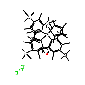 CC1=C(C)[C]([Ti+3])([Si](c2c([Si](C)(C)C)c(C)c([Si](C)(C)C)c(C)c2[Si](C)(C)C)(c2c([Si](C)(C)C)c(C)c([Si](C)(C)C)c(C)c2[Si](C)(C)C)c2c([Si](C)(C)C)c(C)c([Si](C)(C)C)c(C)c2[Si](C)(C)C)C(C)=C1C.[Cl-].[Cl-].[Cl-]